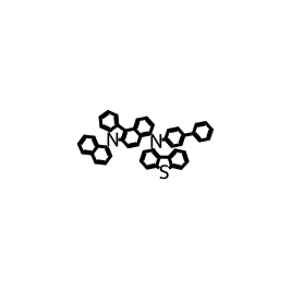 c1ccc(-c2ccc(N(c3cccc4c3ccc3c4c4ccccc4n3-c3cccc4ccccc34)c3cccc4sc5ccccc5c34)cc2)cc1